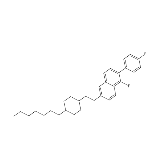 CCCCCCCC1CCC(CCc2ccc3c(F)c(-c4ccc(F)cc4)ccc3c2)CC1